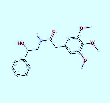 COc1cc(CC(=O)N(C)C[C@@H](O)c2ccccc2)cc(OC)c1OC